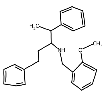 [CH2]C(c1ccccc1)C(CCc1ccccc1)NCc1ccccc1OC